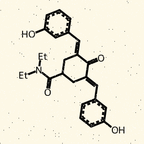 CCN(CC)C(=O)C1C/C(=C\c2cccc(O)c2)C(=O)/C(=C/c2cccc(O)c2)C1